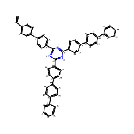 C=Cc1ccc(-c2ccc(-c3nc(-c4ccc(-c5ccc(-c6ccccc6)cc5)cc4)nc(-c4ccc(-c5ccc(-c6ccccc6)cc5)cc4)n3)cc2)cc1